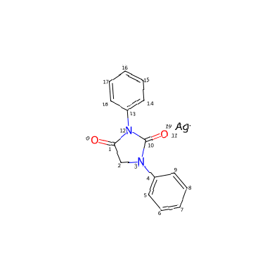 O=C1CN(c2ccccc2)C(=O)N1c1ccccc1.[Ag]